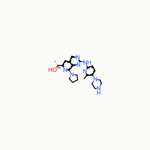 Cc1nc(Nc2ncc3cc([C@@H](C)O)nc(N4CCCC4)c3n2)ccc1N1CCNCC1